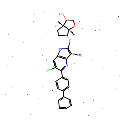 Cc1c(O[C@@H]2CC[C@H]3[C@@H]2OC[C@H]3O)[nH]c2cc(Cl)c(-c3ccc(-c4ccccc4)cc3)nc12